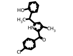 Cc1cc(C(C)c2ccccc2O)[nH]c1C(=O)c1ccc(Cl)cc1